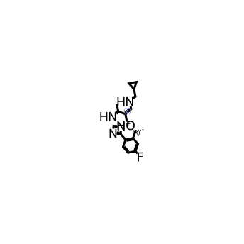 CC(=N)/C(=C\NCC1CC1)C[N+]1=CN=C1c1ccc(F)cc1[C@@H](C)O